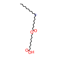 CCCCCCCCC/C=C\CCCCCCCC(=O)OCCCCCCCCCC(=O)O